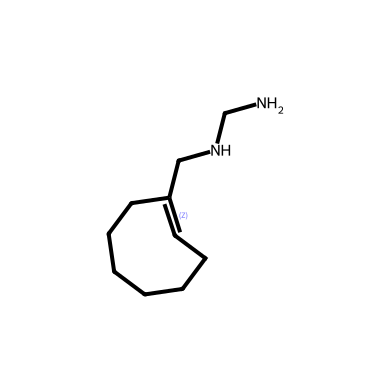 NCNC/C1=C\CCCCCC1